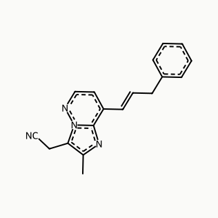 Cc1nc2c(C=CCc3ccccc3)ccnn2c1CC#N